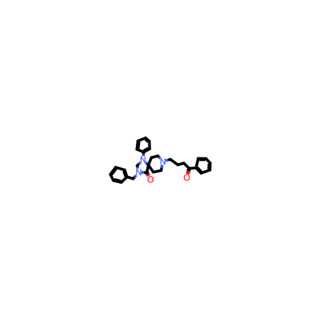 O=C(CCCN1CCC2(CC1)C(=O)N(Cc1ccccc1)CN2c1ccccc1)c1ccccc1